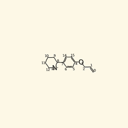 C=CCOc1ccc(C2CCCC[N]2)cc1